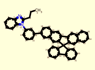 CCCc1nc2ccccc2n1-c1cccc(-c2ccc3cc4c(cc3c2)C2(c3ccccc3-c3ccccc32)c2cc3ccccc3cc2-4)c1